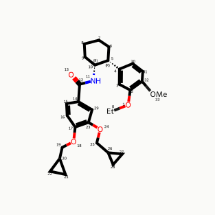 CCOc1cc([C@H]2CCCC[C@H]2NC(=O)c2ccc(OCC3CC3)c(OCC3CC3)c2)ccc1OC